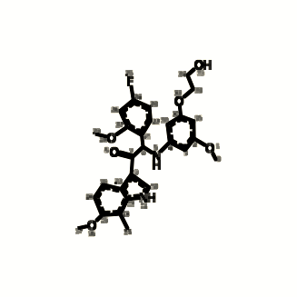 COc1cc(NC(C(=O)c2c[nH]c3c(C)c(OC)ccc23)c2ccc(F)cc2OC)cc(OCCO)c1